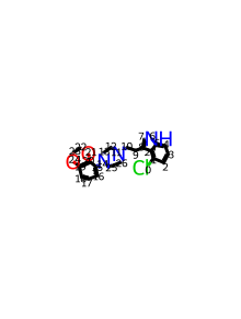 Clc1cccc2[nH]cc(CCN3CCN(c4cccc5c4OCCO5)CC3)c12